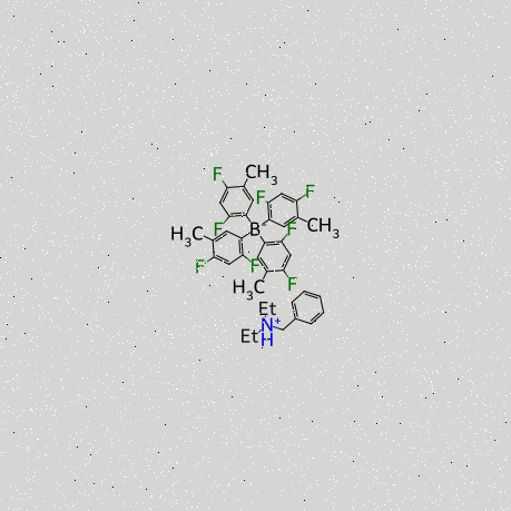 CC[NH+](CC)Cc1ccccc1.Cc1cc([B-](c2cc(C)c(F)cc2F)(c2cc(C)c(F)cc2F)c2cc(C)c(F)cc2F)c(F)cc1F